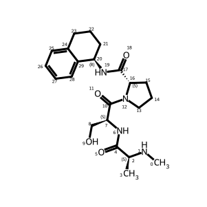 CN[C@@H](C)C(=O)N[C@@H](CO)C(=O)N1CCC[C@H]1C(=O)N[C@@H]1CCCc2ccccc21